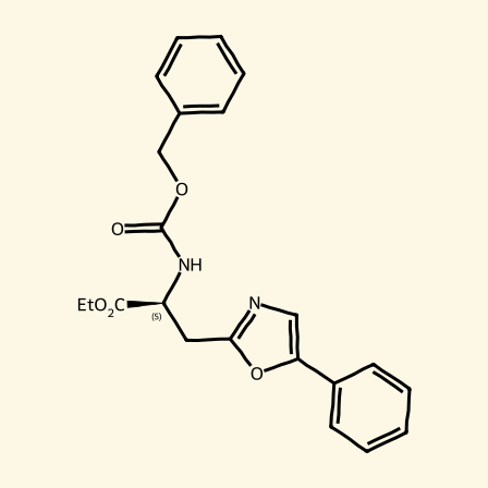 CCOC(=O)[C@H](Cc1ncc(-c2ccccc2)o1)NC(=O)OCc1ccccc1